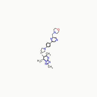 Cc1nc2nc(C)c(C[C@@H]3CCN(c4ccc(-c5cncc(CN6CCOCC6)n5)cc4)C3)c(C)n2n1